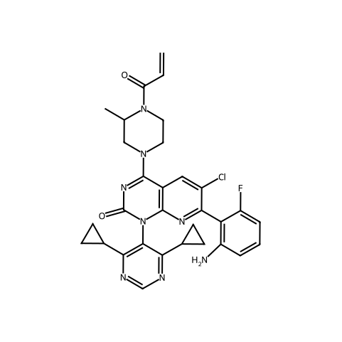 C=CC(=O)N1CCN(c2nc(=O)n(-c3c(C4CC4)ncnc3C3CC3)c3nc(-c4c(N)cccc4F)c(Cl)cc23)CC1C